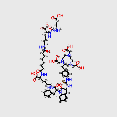 C[C@H](CCC(=O)O)NC(=O)N[C@@H](CCCCNC(=O)CCCCCCC(=O)NC(CCCCNC(=O)C(Cc1ccccc1)NC(=O)C(Cc1ccccc1)NC(=S)Nc1ccc(CC2CN(CC(=O)O)CCN(CC(=O)O)CCN2CC(=O)O)cc1)C(=O)O)C(=O)O